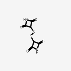 O=C1NC(=O)C1SSC1C(=O)NC1=O